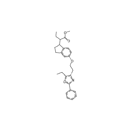 CCc1oc(-c2ccccc2)nc1CCOc1ccc2c(c1)CCC2C(CC)C(=O)OC